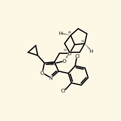 CCCCO[C@@H]1C[C@H]2CC[C@@H](C1)C2OCc1c(-c2c(Cl)cccc2Cl)noc1C1CC1